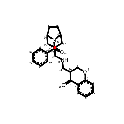 O=C1c2ccccc2OCC1CNCC1CC2CCC(C1)N2C(=O)c1ccccc1